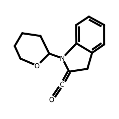 O=C=C1Cc2ccccc2N1C1CCCCO1